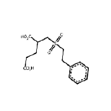 O=C(O)CCC(CS(=O)(=O)CCc1ccccc1)C(=O)O